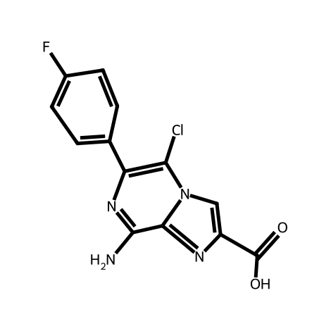 Nc1nc(-c2ccc(F)cc2)c(Cl)n2cc(C(=O)O)nc12